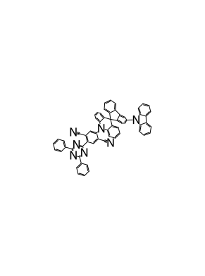 N#Cc1cc(N2c3ccccc3C3(c4ccccc4-c4cc(-n5c6ccccc6c6ccccc65)ccc43)c3ccccc32)c(C#N)cc1-c1nc(-c2ccccc2)nc(-c2ccccc2)n1